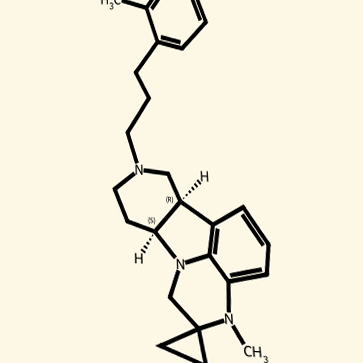 Cc1ccccc1CCCN1CC[C@H]2[C@@H](C1)c1cccc3c1N2CC1(CC1)N3C